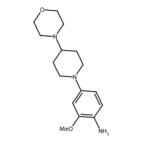 COc1cc(N2CCC(N3CCOCC3)CC2)ccc1N